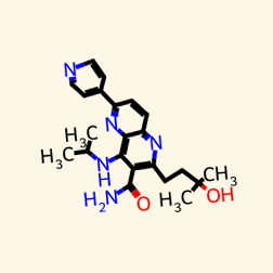 CC(C)Nc1c(C(N)=O)c(CCC(C)(C)O)nc2ccc(-c3ccncc3)nc12